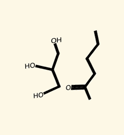 CCCCC(C)=O.OCC(O)CO